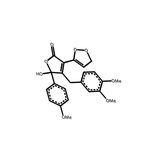 COc1ccc(C2(O)OC(=O)C(C3=CCOO3)=C2Cc2ccc(OC)c(OC)c2)cc1